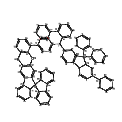 C1=CC2c3ccc(N(c4ccc(-c5cccc6c5Oc5cc7c(cc5O6)-c5ccccc5C75c6ccccc6-c6ccccc65)cc4)c4ccccc4-c4ccccc4)cc3C(c3ccccc3)(c3ccccc3)C2C=C1c1ccccc1